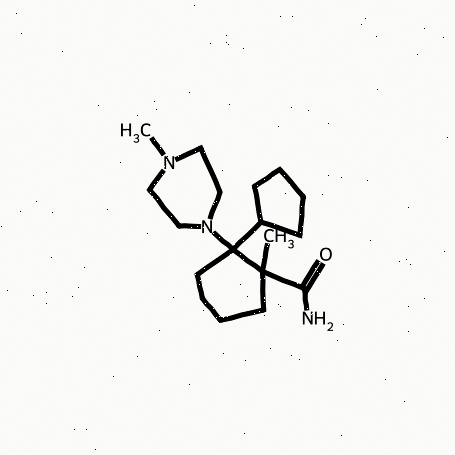 CN1CCN(C2(C3CCCC3)CCCCC2(C)C(N)=O)CC1